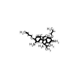 C=CCCOc1ccc(C2(C(C)C)CC(C)(C(C)C)c3cc(N)c(OCCC)cc32)cc1N